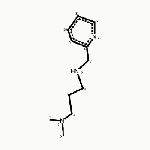 CN(C)CCCNCc1ccccn1